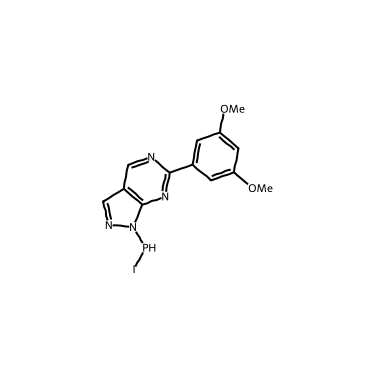 COc1cc(OC)cc(-c2ncc3cnn(PI)c3n2)c1